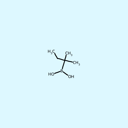 CCC(C)(C)B(O)O